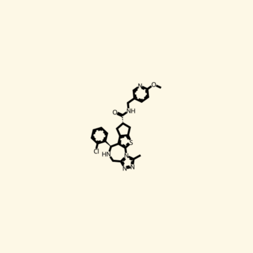 COc1ccc(CNC(=O)[C@@H]2Cc3sc4c(c3C2)[C@H](c2ccccc2Cl)NCc2nnc(C)n2-4)cn1